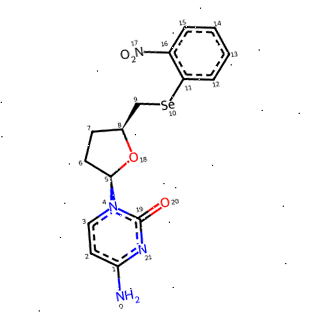 Nc1ccn([C@H]2CC[C@@H](C[Se]c3ccccc3[N+](=O)[O-])O2)c(=O)n1